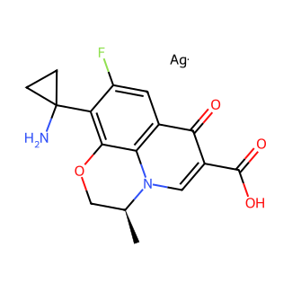 C[C@H]1COc2c(C3(N)CC3)c(F)cc3c(=O)c(C(=O)O)cn1c23.[Ag]